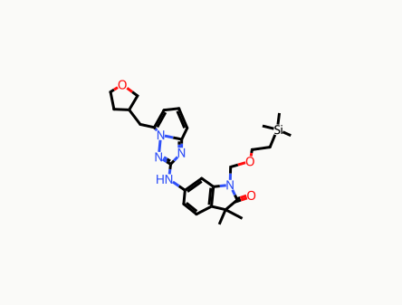 CC1(C)C(=O)N(COCC[Si](C)(C)C)c2cc(Nc3nc4cccc(CC5CCOC5)n4n3)ccc21